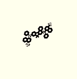 CC1(C)c2cc(N(c3ccccc3)c3ccc([Si](C)(C)C)c4ccccc34)ccc2-c2c1cc(N(c1ccccc1)c1ccc([Si](C)(C)C)c3ccccc13)c1ccccc21